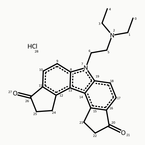 CCN(CC)CCn1c2ccc3c(c2c2c4c(ccc21)C(=O)CC4)CCC3=O.Cl